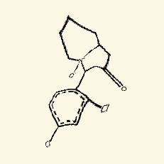 O=C1CC2CCCC[N+]2([O-])C1c1ccc(Cl)cc1Cl